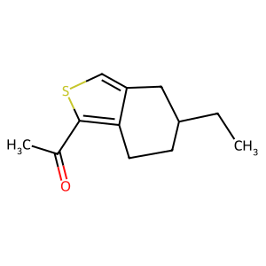 CCC1CCc2c(csc2C(C)=O)C1